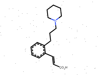 O=C(O)C=Cc1ccccc1CCCN1CCCCC1